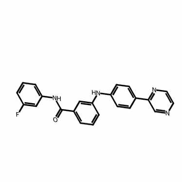 O=C(Nc1cccc(F)c1)c1cccc(Nc2ccc(-c3cnccn3)cc2)c1